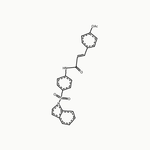 CC(=O)Oc1ccc(C=CC(=O)Nc2ccc(S(=O)(=O)n3ccc4ccccc43)cc2)cc1